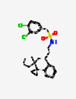 O=S(=O)(Cc1ccc(Cl)c(Cl)c1)NCCC1CC2(CCCC2)C2(CC2)c2ccccc21